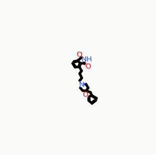 O=C1NC(=O)c2c(CCCCN3CCC4(CC3)Cc3ccccc3O4)cccc21